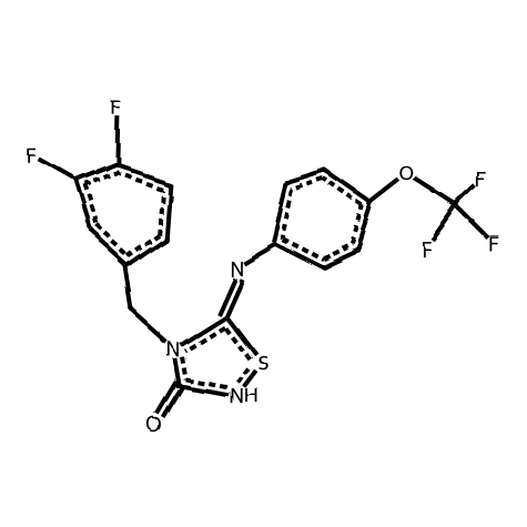 O=c1[nH]s/c(=N\c2ccc(OC(F)(F)F)cc2)n1Cc1ccc(F)c(F)c1